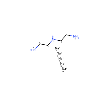 NCCNCCN.[Na+].[Na+].[Na+].[Na+].[Na+]